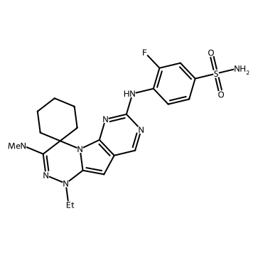 CCN1N=C(NC)C2(CCCCC2)n2c1cc1cnc(Nc3ccc(S(N)(=O)=O)cc3F)nc12